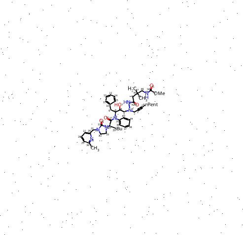 CCCCCC#CCN(CC(O)C(Cc1ccccc1)N(C(=O)C(C(C)CC)N1CCN(Cc2cccc(C)n2)C1=O)c1ccccc1)NC(=O)CC(C)(C)CNC(=O)OC